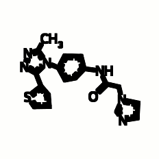 Cc1nnc(-c2cccs2)n1-c1ccc(NC(=O)Cn2ccnc2)cc1